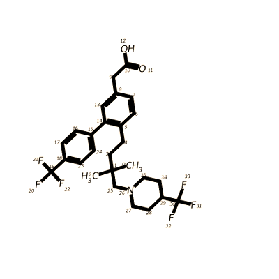 CC(C)(CCc1ccc(CC(=O)O)cc1-c1ccc(C(F)(F)F)cc1)CN1CCC(C(F)(F)F)CC1